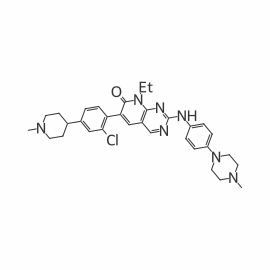 CCn1c(=O)c(-c2ccc(C3CCN(C)CC3)cc2Cl)cc2cnc(Nc3ccc(N4CCN(C)CC4)cc3)nc21